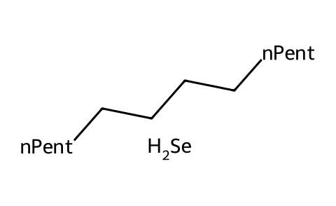 CCCCCCCCCCCCCC.[SeH2]